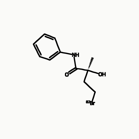 C[C@](O)(CC[82Br])C(=O)Nc1ccccc1